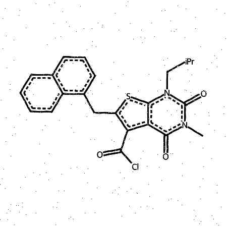 CC(C)Cn1c(=O)n(C)c(=O)c2c(C(=O)Cl)c(Cc3cccc4ccccc34)sc21